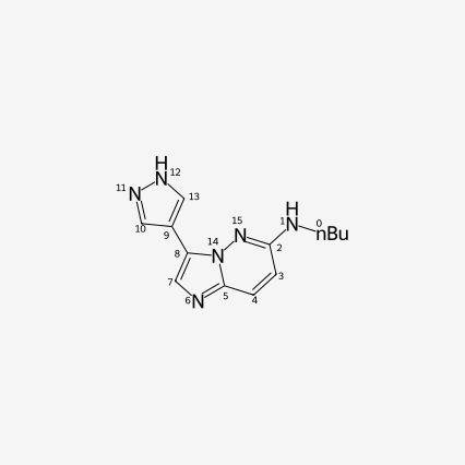 CCCCNc1ccc2ncc(-c3cn[nH]c3)n2n1